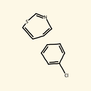 C1=CN=CSC=C1.Clc1ccccc1